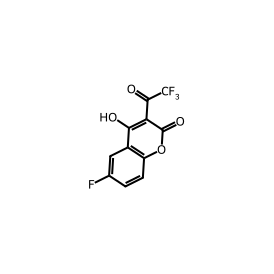 O=C(c1c(O)c2cc(F)ccc2oc1=O)C(F)(F)F